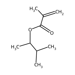 C=C(C)C(=O)OC(C)C(C)C